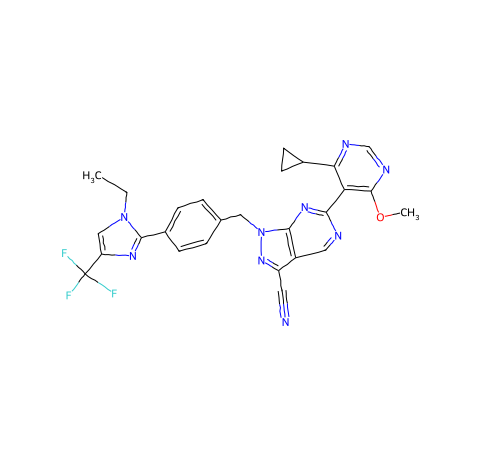 CCn1cc(C(F)(F)F)nc1-c1ccc(Cn2nc(C#N)c3cnc(-c4c(OC)ncnc4C4CC4)nc32)cc1